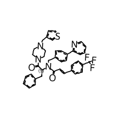 O=C([C@H](Cc1ccccc1)N(Cc1ccc(-c2ccccn2)cc1)C(=O)C=Cc1ccc(C(F)(F)F)cc1)N1CCN(Cc2ccsc2)CC1